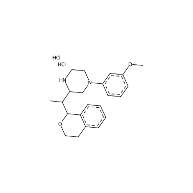 COc1cccc(N2CCNC(C(C)C3OCCc4ccccc43)C2)c1.Cl.Cl